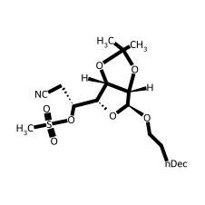 CCCCCCCCCCCCO[C@H]1O[C@H]([C@@H](CC#N)OS(C)(=O)=O)[C@@H]2OC(C)(C)O[C@H]12